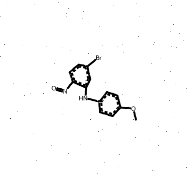 COc1ccc(Nc2cc(Br)ccc2N=O)cc1